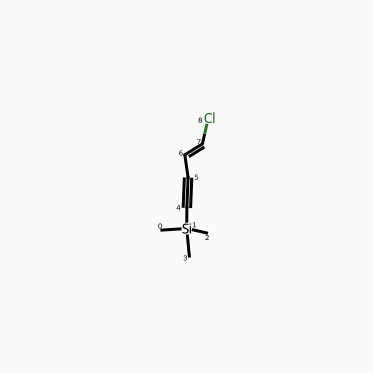 C[Si](C)(C)C#CC=CCl